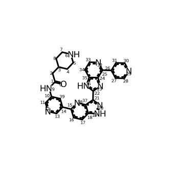 O=C(CC1CCNCC1)Nc1cncc(-c2ccc3[nH]nc(-c4nc5c(-c6ccncc6)nccc5[nH]4)c3n2)c1